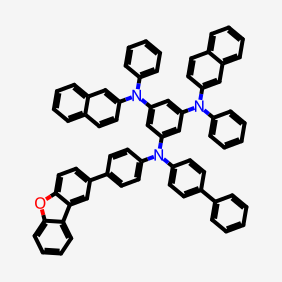 c1ccc(-c2ccc(N(c3ccc(-c4ccc5oc6ccccc6c5c4)cc3)c3cc(N(c4ccccc4)c4ccc5ccccc5c4)cc(N(c4ccccc4)c4ccc5ccccc5c4)c3)cc2)cc1